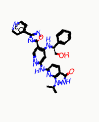 CC(C)n1[nH]c(=O)c2ccc(Nc3cc(N[C@H](CO)c4ccccc4)c(-c4nc(C56CCN(CC5)CC6)no4)cn3)nc21